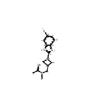 CC(=O)N(C)CC1CN(c2nc3ccc(F)cc3o2)C1